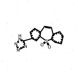 O=S1(=O)c2ccccc2C=Cc2ccc(-c3nnn[nH]3)cc21